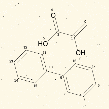 C=C(O)C(=O)O.c1ccc(-c2ccccc2)cc1